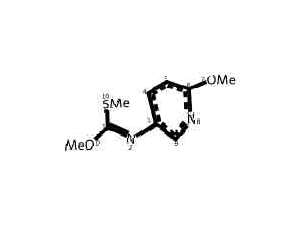 COC(=Nc1ccc(OC)nc1)SC